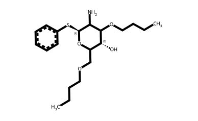 CCCCOCC1O[C@@H](Sc2ccccc2)C(N)C(OCCCC)[C@@H]1O